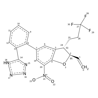 C=C[C@H]1Oc2c(cc(-c3ccccc3-c3nnn[nH]3)cc2[N+](=O)[O-])[C@@H]1CCC(F)(F)F